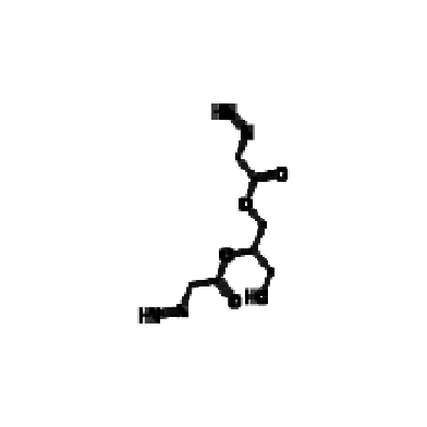 N=NCC(=O)OCC(CO)OC(=O)CN=N